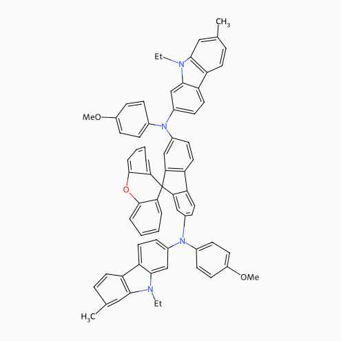 CCn1c2cc(C)ccc2c2ccc(N(c3ccc(OC)cc3)c3ccc4c(c3)C3(c5ccccc5Oc5ccccc53)c3cc(N(c5ccc(OC)cc5)c5ccc6c7ccc(C)cc7n(CC)c6c5)ccc3-4)cc21